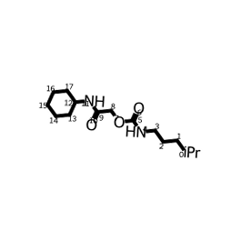 CC(C)CCCNC(=O)OCC(=O)NC1CCCCC1